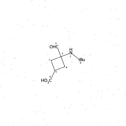 CC(C)(C)NC1(C=O)CC(C(=O)O)C1